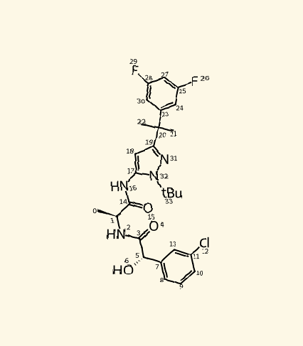 C[C@H](NC(=O)[C@@H](O)c1cccc(Cl)c1)C(=O)Nc1cc(C(C)(C)c2cc(F)cc(F)c2)nn1C(C)(C)C